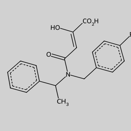 CC(c1ccccc1)N(Cc1ccc(F)cc1)C(=O)/C=C(\O)C(=O)O